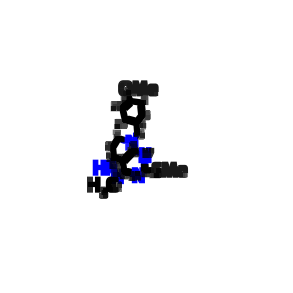 COc1ccc(CN2CCC3NN(C)c4nc(SC)nc2c43)cc1